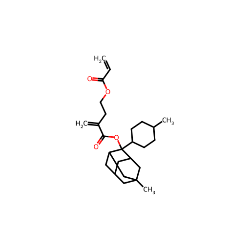 C=CC(=O)OCCC(=C)C(=O)OC1(C2CCC(C)CC2)C2CC3CC1CC(C)(C3)C2